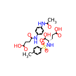 CC(=O)Nc1ccc(NC(=O)CCC(=O)O)cc1.Cc1ccc(S(=O)(=O)N[C@@H](CCC(=O)O)C(=O)O)cc1